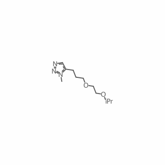 CC(C)OCCOCCCc1cnnn1C